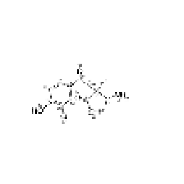 CC(N)C1(C(=O)O)CC1C(=O)c1ccc(O)c(Cl)c1